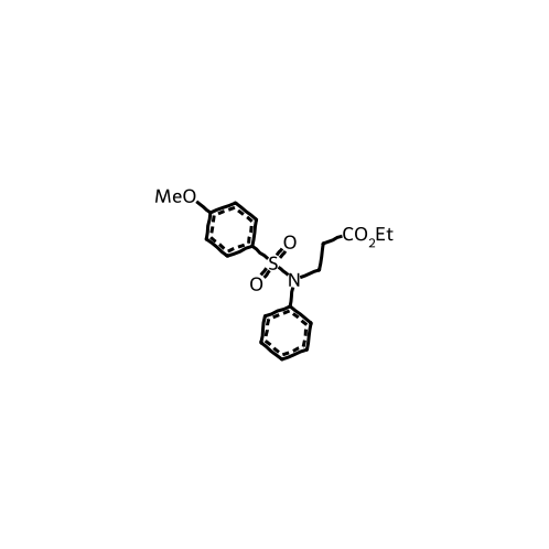 CCOC(=O)CCN(c1ccccc1)S(=O)(=O)c1ccc(OC)cc1